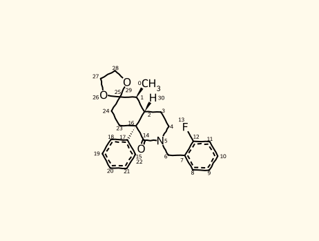 C[C@H]1[C@@H]2CCN(Cc3ccccc3F)C(=O)[C@@]2(c2ccccc2)CCC12OCCO2